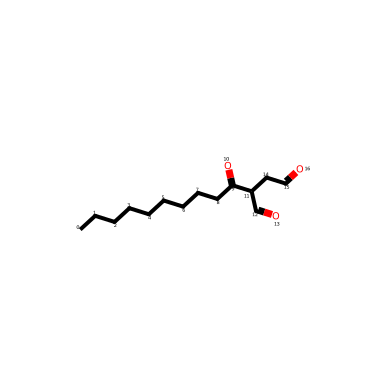 CCCCCCCCCC(=O)C(C=O)CC=O